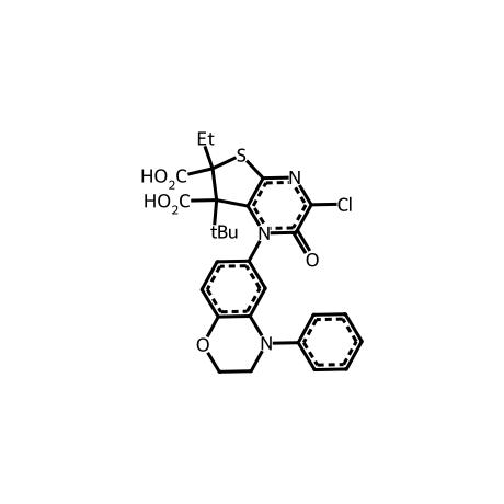 CCC1(C(=O)O)Sc2nc(Cl)c(=O)n(-c3ccc4c(c3)N(c3ccccc3)CCO4)c2C1(C(=O)O)C(C)(C)C